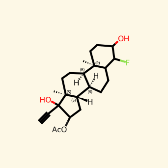 C#CC1(O)C(OC(C)=O)C[C@H]2[C@@H]3CCC4C(F)C(O)CC[C@]4(C)[C@@H]3CC[C@@]21C